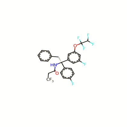 O=C(CC(F)(F)F)N[C@](Cc1ccccc1)(c1ccc(F)cc1)c1cc(F)cc(OC(F)(F)C(F)F)c1